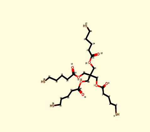 O=C(CCCCS)OCC(COC(=O)CCCCS)(COC(=O)CCCCS)COC(=O)CCCCS